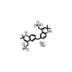 CC1(C)C=C(CS(=O)(=O)[O-])c2cc(Cc3ccc4c(c3)C(CS(=O)(=O)[O-])=CC(C)(C)N4)ccc2N1.[Na+].[Na+]